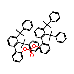 CC(C)(c1ccccc1)c1cccc(-c2ccccc2OC(=O)Oc2ccccc2-c2cccc(C(C)(C)c3ccccc3)c2C(C)(C)c2ccccc2)c1C(C)(C)c1ccccc1